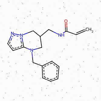 C=CC(=O)NCC1CN(Cc2ccccc2)c2ccnn2C1